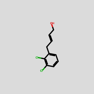 OCC=CCc1cccc(Cl)c1Cl